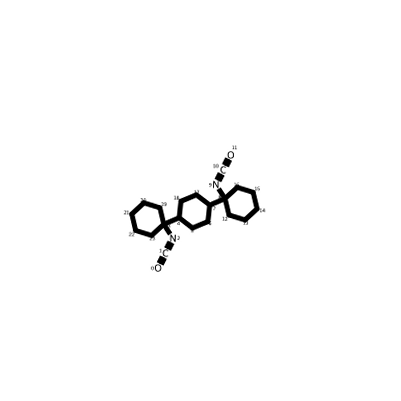 O=C=NC1(C2CCC(C3(N=C=O)CCCCC3)CC2)CCCCC1